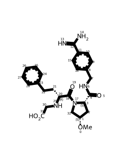 CO[C@H]1C[C@@H](C(=O)NCc2ccc(C(=N)N)cc2)N(C(=O)[C@@H](CCc2ccccc2)NCC(=O)O)C1